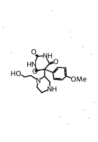 COc1ccc(C2(C3CNCCN3CCO)C(=O)NC(=O)NC2=O)cc1